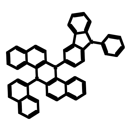 c1ccc(-n2c3ccccc3c3cc(N4c5ccc6ccccc6c5N(c5cccc6ccccc56)c5ccc6ccccc6c54)ccc32)cc1